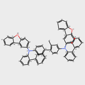 Cc1cc(N(c2ccc3oc4ccccc4c3c2)c2ccccc2-c2ccccc2)ccc1-c1ccc(N(c2ccc3oc4ccccc4c3c2)c2ccccc2-c2ccccc2)cc1C